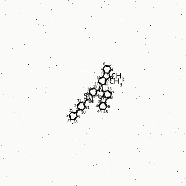 CC1(C)c2ccccc2-c2ccc(N(c3ccc4sc(-c5ccc(-c6ccccc6)cc5)nc4c3)c3cccc4c3sc3ccccc34)cc21